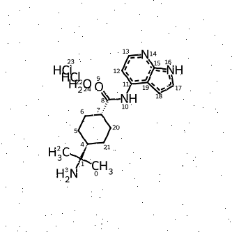 CC(C)(N)[C@H]1CC[C@H](C(=O)Nc2ccnc3[nH]ccc23)CC1.Cl.Cl.O